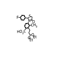 CCOC(CCc1c(C(=O)O)ccc(N2C(=O)CSC2c2ccc(F)cc2)c1C)OCC